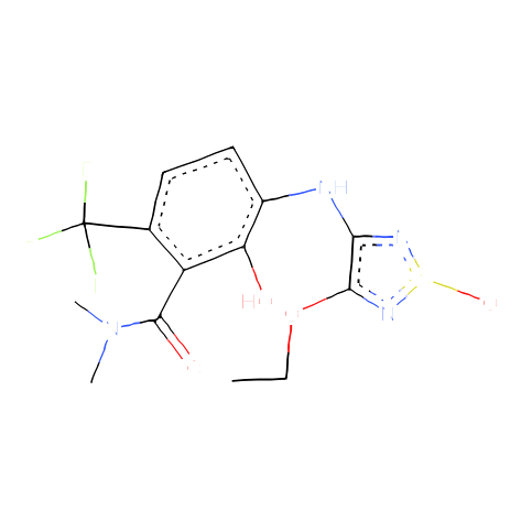 CCOc1n[s+]([O-])nc1Nc1ccc(C(F)(F)F)c(C(=O)N(C)C)c1O